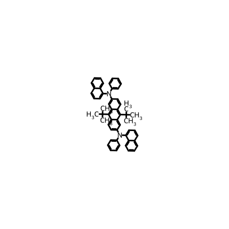 CC(C)(C)c1c2ccc(N(c3ccccc3)c3cccc4ccccc34)cc2c(C(C)(C)C)c2ccc(N(c3ccccc3)c3cccc4ccccc34)cc12